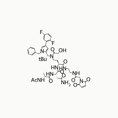 CC(=O)N[C@H](C)C(=O)N[C@@H](CC(N)=O)C(=O)N[C@@H](CCN(C(=O)CO)[C@@H](c1cc(-c2cc(F)ccc2F)cn1Cc1ccccc1)C(C)(C)C)C(=O)NCCNC(=O)CN1C(=O)C=CC1=O